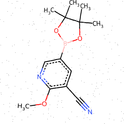 COc1ncc(B2OC(C)(C)C(C)(C)O2)cc1C#N